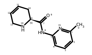 Cc1cccc(NC(=O)[C@@H]2CC=CCN2)n1